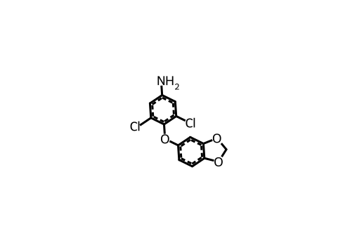 Nc1cc(Cl)c(Oc2ccc3c(c2)OCO3)c(Cl)c1